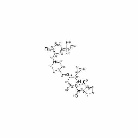 C[C@@H]1CCC[C@H]1C(=O)c1cc(C2CC2)c(OCC2CCN(Cc3cc(C(F)(F)F)ccc3Cl)CC2)cc1F